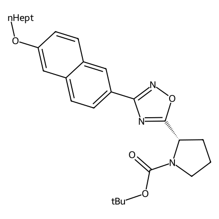 CCCCCCCOc1ccc2cc(-c3noc([C@@H]4CCCN4C(=O)OC(C)(C)C)n3)ccc2c1